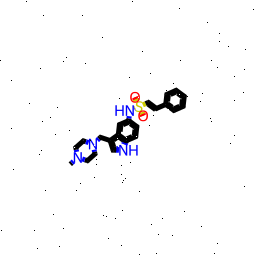 CN1CCN(Cc2c[nH]c3ccc(NS(=O)(=O)C=Cc4ccccc4)cc23)CC1